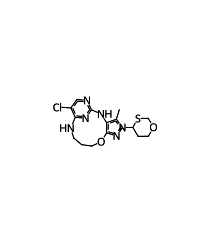 Cc1c2c(nn1C1CCOCS1)OCCCNc1nc(ncc1Cl)N2